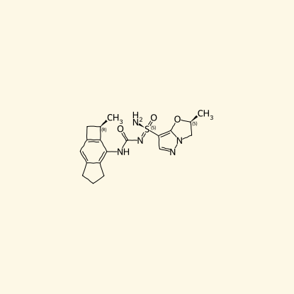 C[C@@H]1Cc2cc3c(c(NC(=O)N=[S@](N)(=O)c4cnn5c4O[C@@H](C)C5)c21)CCC3